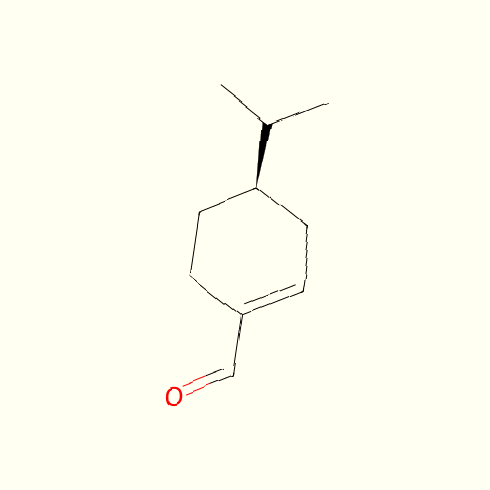 CC(C)[C@H]1CC=C(C=O)CC1